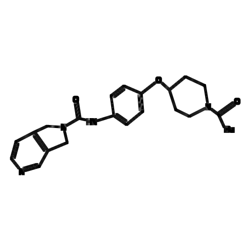 CCC(C)C(=O)N1CCC(Oc2ccc(NC(=O)N3Cc4ccncc4C3)cc2)CC1